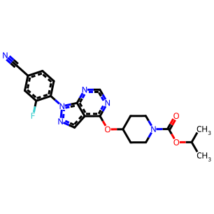 CC(C)OC(=O)N1CCC(Oc2ncnc3c2cnn3-c2ccc(C#N)cc2F)CC1